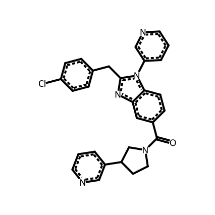 O=C(c1ccc2c(c1)nc(Cc1ccc(Cl)cc1)n2-c1cccnc1)N1CCC(c2cccnc2)C1